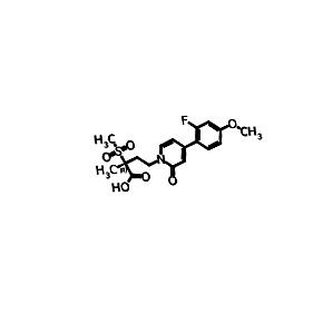 COc1ccc(-c2ccn(CC[C@](C)(C(=O)O)S(C)(=O)=O)c(=O)c2)c(F)c1